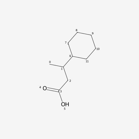 CC(CC(=O)O)C1[CH]CCCC1